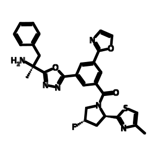 Cc1csc([C@H]2C[C@H](F)CN2C(=O)c2cc(-c3ncco3)cc(-c3nnc([C@@](C)(N)Cc4ccccc4)o3)c2)n1